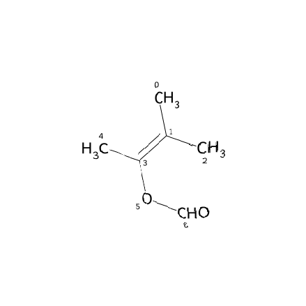 CC(C)=C(C)OC=O